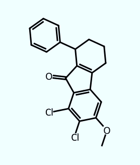 COc1cc2c(c(Cl)c1Cl)C(=O)C1=C2CCCC1c1ccccc1